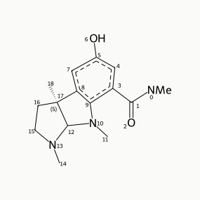 CNC(=O)c1cc(O)cc2c1N(C)C1N(C)CC[C@@]21C